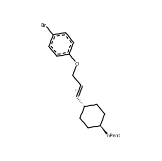 CCCCC[C@H]1CC[C@H](/C=C/COc2ccc(Br)cc2)CC1